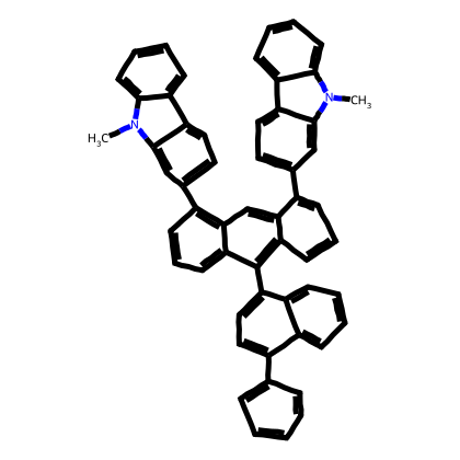 Cn1c2ccccc2c2ccc(-c3cccc4c(-c5ccc(-c6ccccc6)c6ccccc56)c5cccc(-c6ccc7c8ccccc8n(C)c7c6)c5cc34)cc21